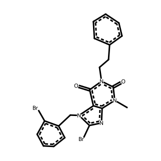 Cn1c(=O)n(CCc2ccccc2)c(=O)c2c1nc(Br)n2Cc1ccccc1Br